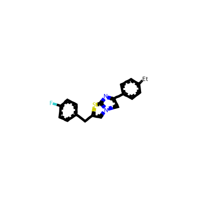 CCc1ccc(-c2cn3cc(Cc4ccc(F)cc4)sc3n2)cc1